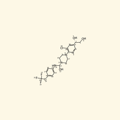 OC[C@@H](O)c1cnc(N2CCN(C(O)Nc3ccc(OC(F)(F)F)cc3)CC2)c(Cl)c1